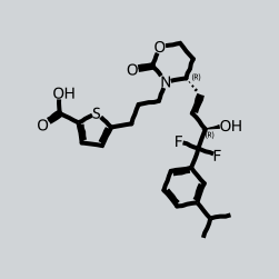 CC(C)c1cccc(C(F)(F)[C@H](O)C=C[C@H]2CCOC(=O)N2CCCc2ccc(C(=O)O)s2)c1